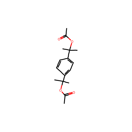 CC(=O)OC(C)(C)c1ccc(C(C)(C)OC(C)=O)cc1